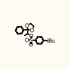 CCC(C)c1ccc(S(=O)(=O)OC(C)C2(c3ccccc3)OCCO2)cc1